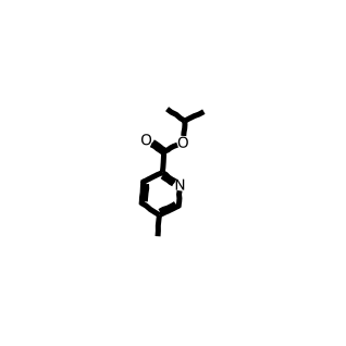 Cc1ccc(C(=O)OC(C)C)nc1